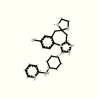 Clc1ccc2c(c1)CC1(Cc3nnc([C@H]4CC[C@H](Nc5ccccn5)CC4)n3-2)OCCO1